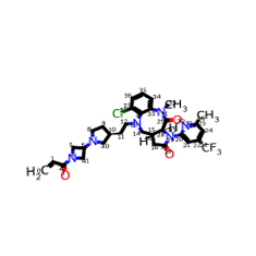 C=CC(=O)N1CC(N2CC[C@@H](CCN3C[C@H]4CC(=O)N(c5cc(C(F)(F)F)cc(C)n5)[C@@H]4C(=O)N(C)c4cccc(Cl)c43)C2)C1